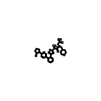 CN(C(=O)[C@@H](CC(=O)O)CC1CCOCC1)c1nc(-c2ccccc2-c2ccc(N3CCCC3=O)nc2)ns1